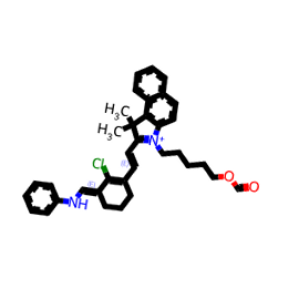 CC1(C)C(/C=C/C2=C(Cl)C(=C/Nc3ccccc3)/CCC2)=[N+](CCCCCOC=O)c2ccc3ccccc3c21